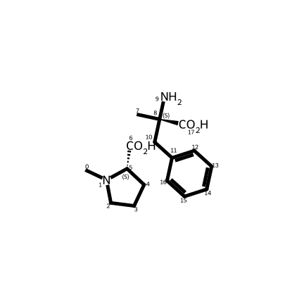 CN1CCC[C@H]1C(=O)O.C[C@](N)(Cc1ccccc1)C(=O)O